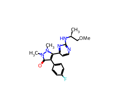 COC[C@H](C)Nc1nccc(-c2c(-c3ccc(F)cc3)c(=O)n(C)n2C)n1